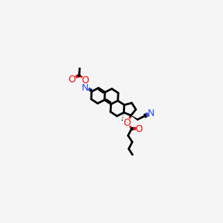 CCCCC(=O)O[C@@]1(CC#N)CCC2C3CCC4=CC(=NOC(C)=O)CCC4=C3CC[C@@]21C